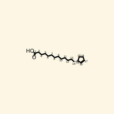 O=C(O)CCCCCCCCCCCC[C@H]1C=CCC1